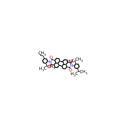 CCCc1ccc(C(C)C)c(N2C(=O)c3ccc4c5ccc6c7c(ccc(c8ccc(c3c48)C2=O)c75)C(=O)N(c2cc(C(C)C)ccc2C(C)C)C6=O)c1